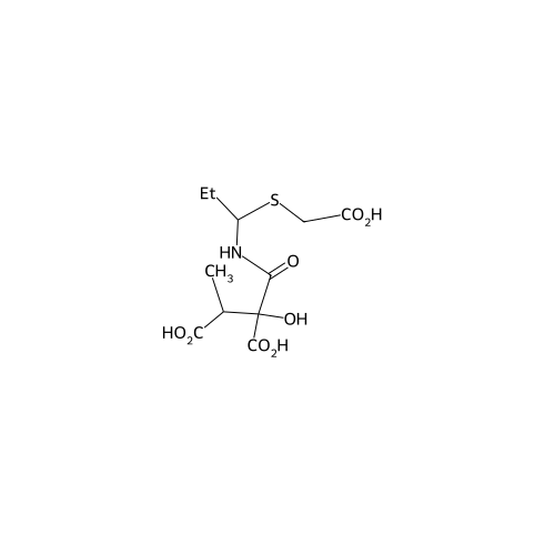 CCC(NC(=O)C(O)(C(=O)O)C(C)C(=O)O)SCC(=O)O